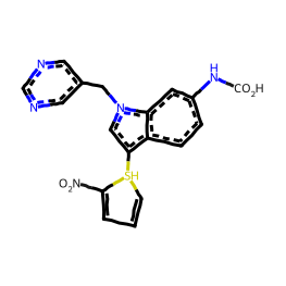 O=C(O)Nc1ccc2c([SH]3C=CC=C3[N+](=O)[O-])cn(Cc3cncnc3)c2c1